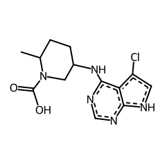 CC1CCC(Nc2ncnc3[nH]cc(Cl)c23)CN1C(=O)O